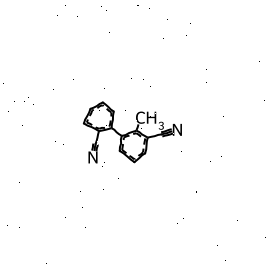 Cc1c(C#N)cccc1-c1ccccc1C#N